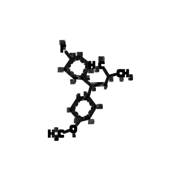 COc1ccc(C(=CC(C)C)c2ccc(F)cc2)cc1